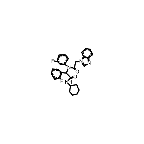 O=C(NC1CCCCC1)C(c1ccccc1F)N(C(=O)Cn1cnc2ccccc21)c1cccc(F)c1